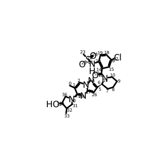 Cc1cn2nc([C@@H]3CCCCN3C(=O)c3cc(Cl)ccc3NS(C)(=O)=O)cc2nc1N1CC(C)C(O)C1